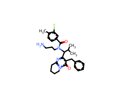 Cc1ccc(C(=O)N(CCCN)C(c2nc3n(c(=O)c2Cc2ccccc2)CCCC3)C(C)C)cc1F